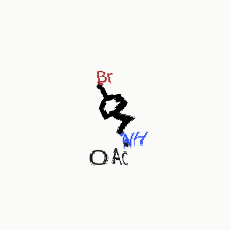 CC(=O)ONCCc1ccc(CBr)cc1